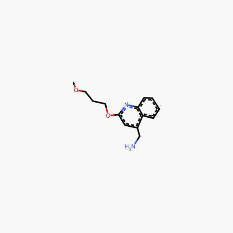 COCCCOc1cc(CN)c2ccccc2n1